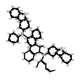 C/C=C\C=C(/CC)N(c1ccc2sc3ccccc3c2c1)C1C2=C(CCC=C2)c2cc(N(c3ccccc3)c3ccc4sc5ccccc5c4c3)c3ccccc3c2C1C